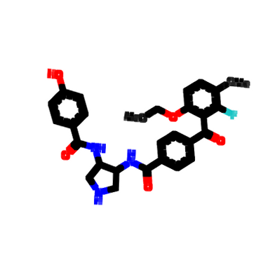 COCOc1ccc(OC)c(F)c1C(=O)c1ccc(C(=O)NC2CNCC2NC(=O)c2ccc(O)cc2)cc1